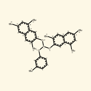 CC(C)(C)c1cccc(OP(Oc2cc3c(C(C)(C)C)cc(C(C)(C)C)cc3cc2C(C)(C)C)Oc2cc3c(C(C)(C)C)cc(C(C)(C)C)cc3cc2C(C)(C)C)c1